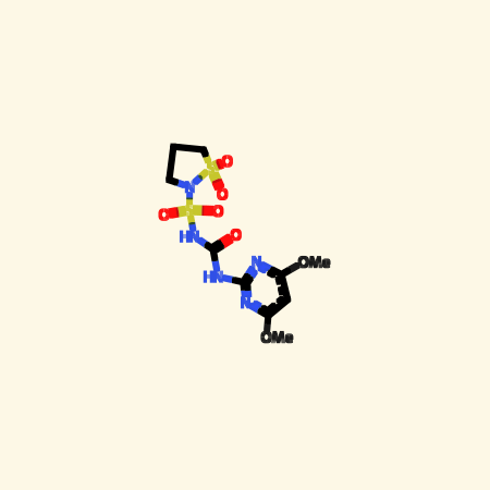 COc1cc(OC)nc(NC(=O)NS(=O)(=O)N2CCCS2(=O)=O)n1